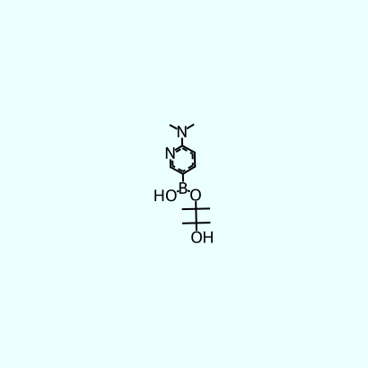 CN(C)c1ccc(B(O)OC(C)(C)C(C)(C)O)cn1